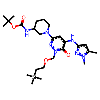 Cc1cc(Nc2cc(N3CCCC(NC(=O)OC(C)(C)C)C3)nn(COCC[Si](C)(C)C)c2=O)nn1C